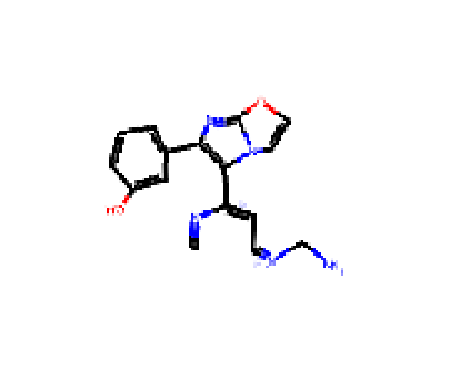 C=N/C(=C\C=N/CN)c1c(-c2cccc(O)c2)nc2occn12